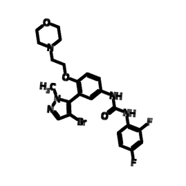 Cn1ncc(Br)c1-c1cc(NC(=O)Nc2ccc(F)cc2F)ccc1OCCN1CCOCC1